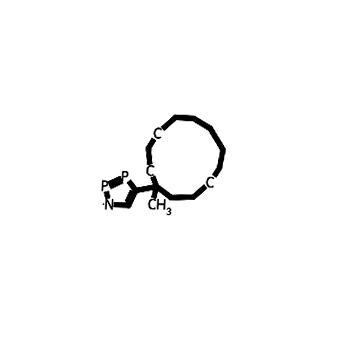 CC1(C2=C[N]P=P2)CCCCCCCCCCC1